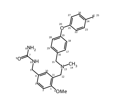 COc1ccc(CNC(N)=O)cc1CN(C)Cc1ccc(Oc2ccc(F)cc2)cc1